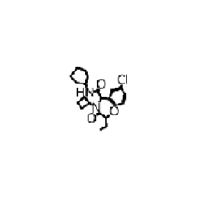 CCC1Oc2ccc(Cl)cc2C(C(=O)NC2CCCCC2)N(C2CCC2)C1=O